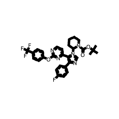 CC(C)(C)OC(=O)N1CCCCC1n1cnc(-c2ccc(F)cc2)c1-c1ccnc(Oc2ccc(C(F)(F)F)cc2)n1